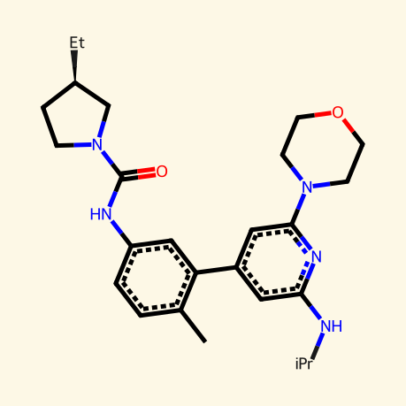 CC[C@@H]1CCN(C(=O)Nc2ccc(C)c(-c3cc(NC(C)C)nc(N4CCOCC4)c3)c2)C1